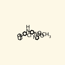 COC(=O)c1cccnc1Nc1ccc(Nc2ccc(C34CC5CC(CC(C5)C3)C4)cc2Cl)cc1